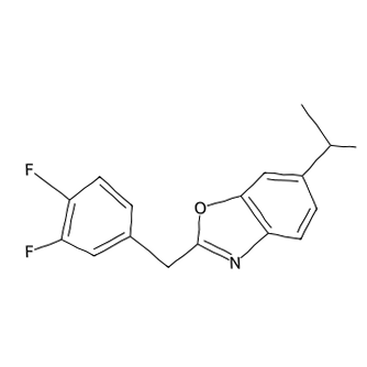 CC(C)c1ccc2nc(Cc3ccc(F)c(F)c3)oc2c1